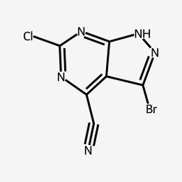 N#Cc1nc(Cl)nc2[nH]nc(Br)c12